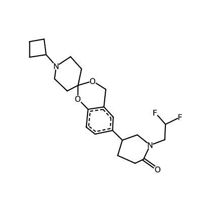 O=C1CCC(c2ccc3c(c2)COC2(CCN(C4CCC4)CC2)O3)CN1CC(F)F